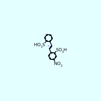 O=[N+]([O-])c1ccc(/C=C/c2cc[c]cc2S(=O)(=O)O)c(S(=O)(=O)O)c1